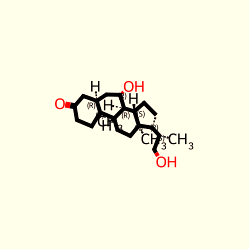 C[C@H](CO)[C@H]1CC[C@H]2[C@@H]3[C@H](O)C[C@@H]4CC(=O)CC[C@]4(C)[C@H]3CC[C@]12C